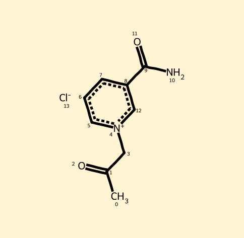 CC(=O)C[n+]1cccc(C(N)=O)c1.[Cl-]